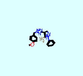 COc1ccc(Cn2nnc(-c3cnn(-c4ccccc4)c3S)n2)cc1